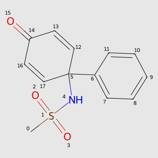 CS(=O)(=O)NC1(c2ccccc2)C=CC(=O)C=C1